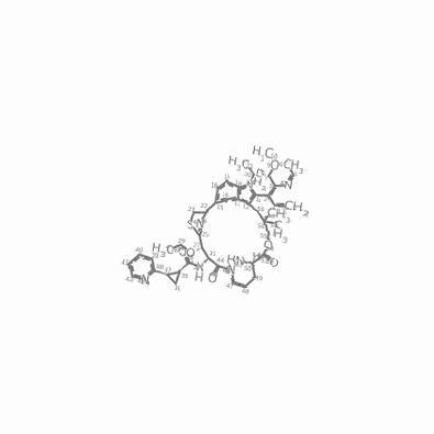 C=C/C(=C(\N=C/C)[C@H](C)OC)c1c2c3cc(ccc3n1CC)C1CSC(=N1)[C@@H](OCC)[C@H](NC(=O)[C@H]1C[C@H]1c1ccccn1)C(=O)N1CCC[C@H](N1)C(=O)OCC(C)(C)C2